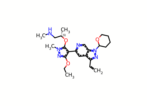 C=Cc1nn(C2CCCCO2)c2cnc(-c3c(OCC)nn(C)c3O[C@@H](C)CNC)cc12